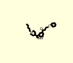 CCCCCN1CC=C(c2c[nH]c3ccc(C(=O)CCCCc4ccccc4)cc23)CC1